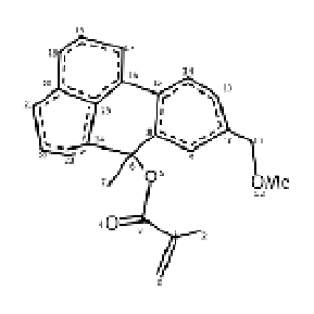 C=C(C)C(=O)OC1(C)c2cc(COC)ccc2-c2cccc3cccc1c23